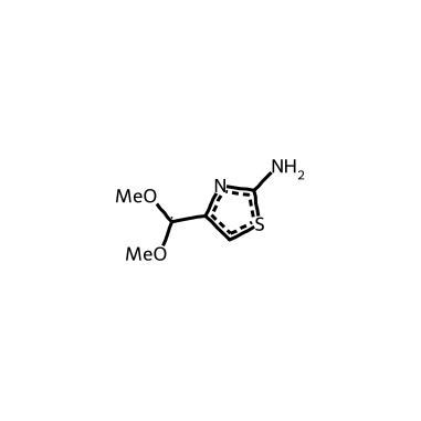 CO[C](OC)c1csc(N)n1